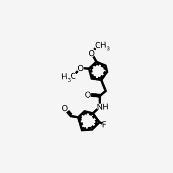 COc1ccc(CC(=O)Nc2cc([C]=O)ccc2F)cc1OC